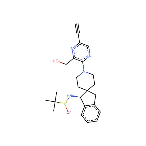 C#Cc1cnc(N2CCC3(CC2)Cc2ccccc2[C@H]3N[S+]([O-])C(C)(C)C)c(CO)n1